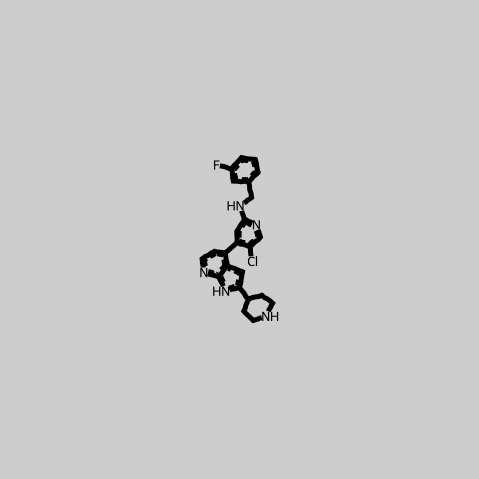 Fc1cccc(CNc2cc(-c3ccnc4[nH]c(C5CCNCC5)cc34)c(Cl)cn2)c1